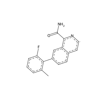 Cc1cccc(F)c1-c1ccc2c[c]nc(C(N)=O)c2c1